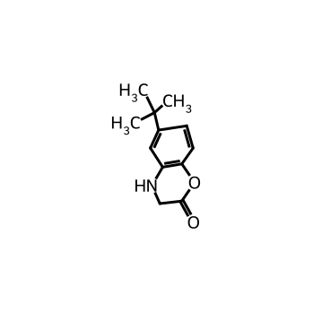 CC(C)(C)c1ccc2c(c1)NCC(=O)O2